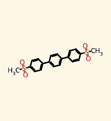 CS(=O)(=O)c1ccc(-c2ccc(-c3ccc(S(C)(=O)=O)cc3)cc2)cc1